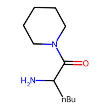 CCCCC(N)C(=O)N1CCCCC1